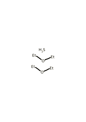 CCOCC.CCOCC.S